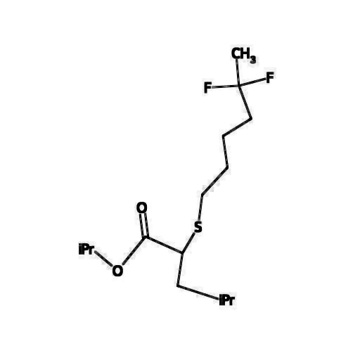 CC(C)CC(SCCCCC(C)(F)F)C(=O)OC(C)C